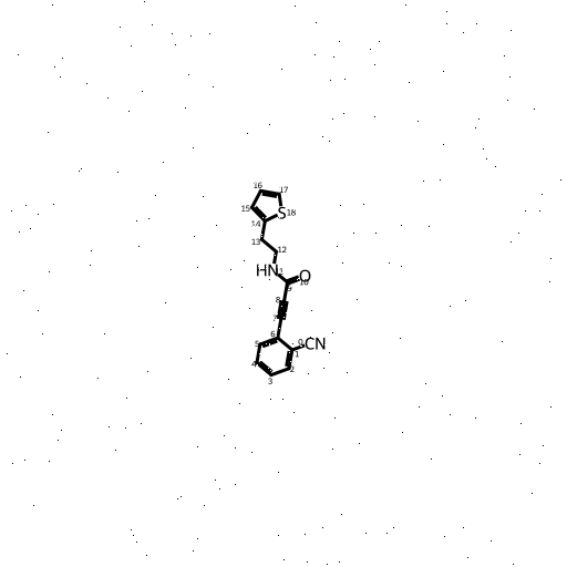 N#Cc1ccccc1C#CC(=O)NCCc1cccs1